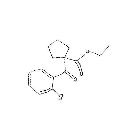 CCOC(=O)C1(C(=O)c2ccccc2Cl)CCCC1